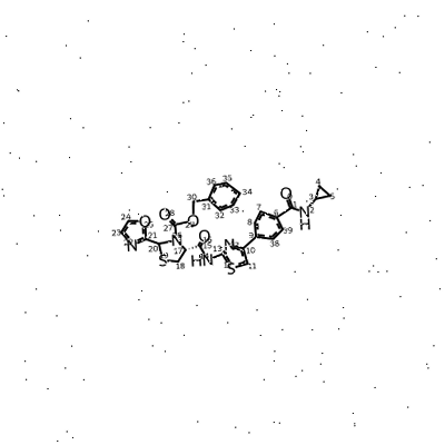 O=C(NC1CC1)c1ccc(-c2csc(NC(=O)[C@@H]3CSC(c4ncco4)N3C(=O)OCc3ccccc3)n2)cc1